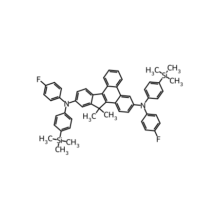 CC1(C)c2cc(N(c3ccc(F)cc3)c3ccc([Si](C)(C)C)cc3)ccc2-c2c1c1ccc(N(c3ccc(F)cc3)c3ccc([Si](C)(C)C)cc3)cc1c1ccccc21